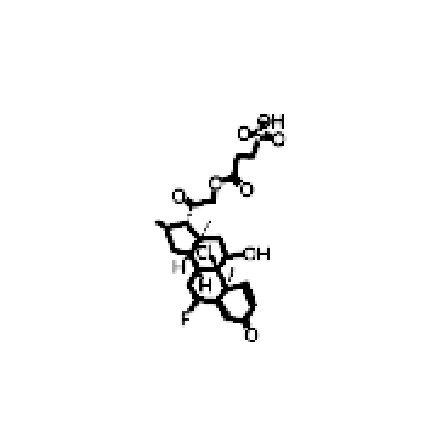 CC1C[C@H]2[C@@H]3CC(F)C4=CC(=O)C=C[C@]4(C)[C@@]3(Cl)C(O)C[C@]2(C)[C@H]1C(=O)COC(=O)CCS(=O)(=O)O